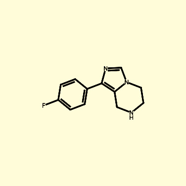 Fc1ccc(-c2ncn3c2CNCC3)cc1